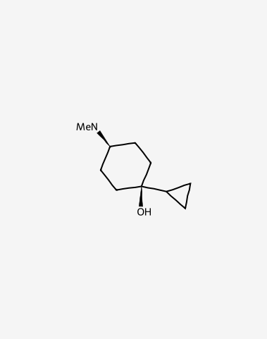 CN[C@H]1CC[C@](O)(C2CC2)CC1